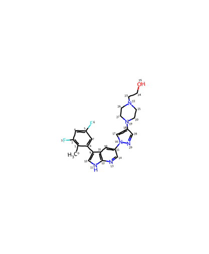 Cc1c(F)cc(F)cc1-c1c[nH]c2ncc(-n3cc(N4CCN(CCO)CC4)cn3)cc12